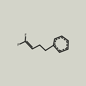 FC(F)=CCCc1ccccc1